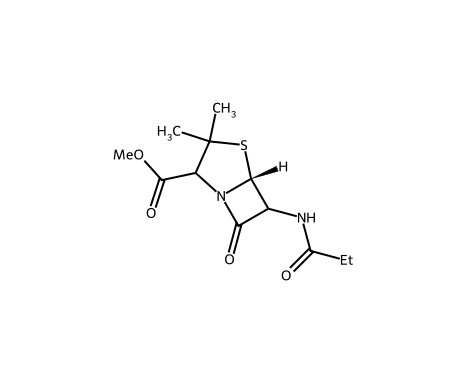 CCC(=O)NC1C(=O)N2C(C(=O)OC)C(C)(C)S[C@H]12